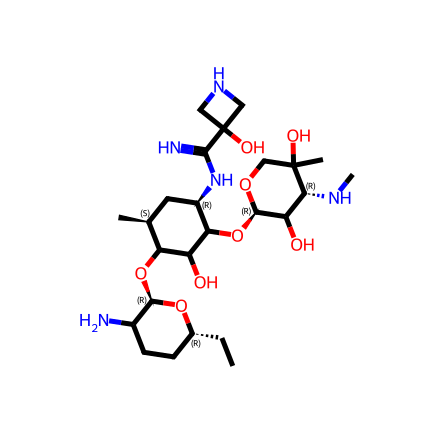 CC[C@@H]1CCC(N)[C@@H](OC2C(O)C(O[C@H]3OCC(C)(O)[C@H](NC)C3O)[C@H](NC(=N)C3(O)CNC3)C[C@@H]2C)O1